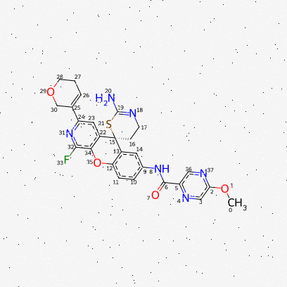 COc1cnc(C(=O)Nc2ccc3c(c2)[C@@]2(CCN=C(N)S2)c2cc(C4=CCCOC4)nc(F)c2O3)cn1